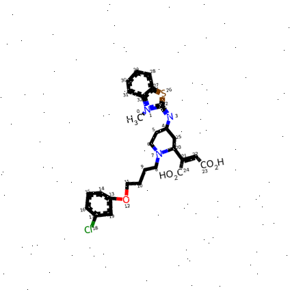 Cn1c(=NC2CCN(CCCCOc3cccc(Cl)c3)C(/C(=C/C(=O)O)C(=O)O)C2)sc2ccccc21